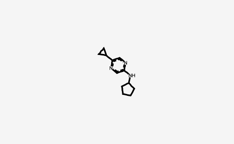 c1nc(C2CC2)cnc1NC1CCCC1